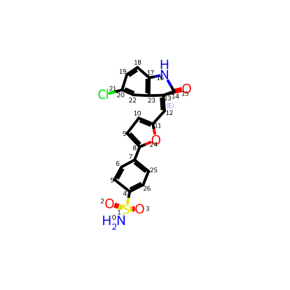 NS(=O)(=O)c1ccc(-c2ccc(/C=C3/C(=O)Nc4ccc(Cl)cc43)o2)cc1